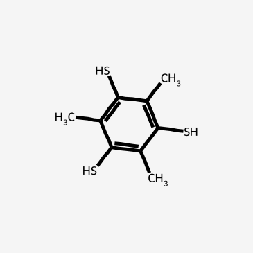 Cc1c(S)c(C)c(S)c(C)c1S